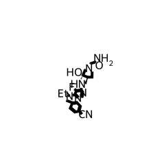 CCN(Cc1ccc(C#N)cc1)c1ncnc(NC[C@@H]2CCN(CC(N)=O)C[C@]2(C)O)c1F